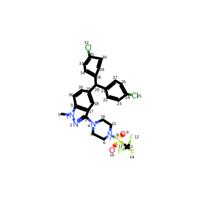 Cn1nc(N2CCN(S(=O)(=O)C(F)(F)F)CC2)c2cc(C(c3ccc(Cl)cc3)c3ccc(Cl)cc3)ccc21